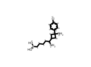 NC(CCCCB(O)O)C1CC(N)(c2ccc(Cl)cc2)C1